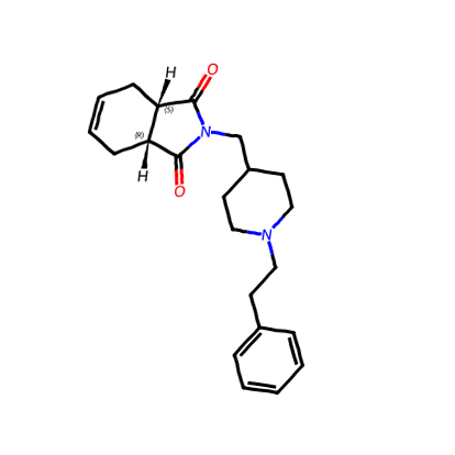 O=C1[C@H]2CC=CC[C@H]2C(=O)N1CC1CCN(CCc2ccccc2)CC1